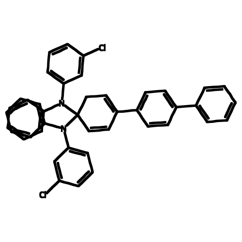 Clc1cccc(N(c2ccccc2)C2(N(c3ccccc3)c3cccc(Cl)c3)C=CC(c3ccc(-c4ccccc4)cc3)=CC2)c1